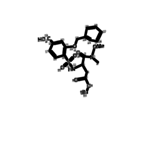 CON(C)C(=O)C(CC(=O)OC(C)(C)C)NS(=O)(=O)c1ccc(C(=O)O)cc1OCc1ccccc1